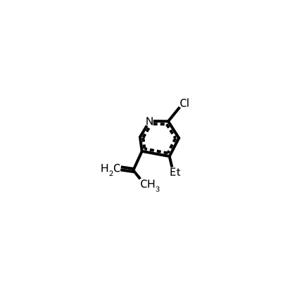 C=C(C)c1cnc(Cl)cc1CC